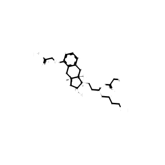 CCCCC[C@@H](CC[C@@H]1[C@H]2Cc3cccc(OCC(=O)O)c3C[C@H]2C[C@H]1O)OC(=O)CO